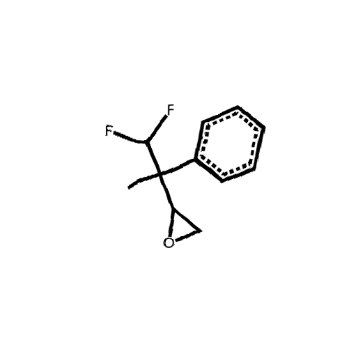 CC(c1ccccc1)(C(F)F)C1CO1